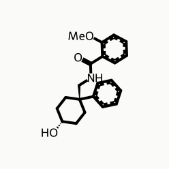 COc1ccccc1C(=O)NC[C@]1(c2ccccc2)CC[C@@H](O)CC1